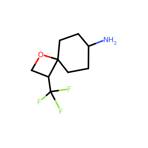 NC1CCC2(CC1)OCC2C(F)(F)F